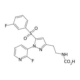 O=C(O)NCCc1cc(S(=O)(=O)c2cccc(F)c2)n(-c2cccnc2F)n1